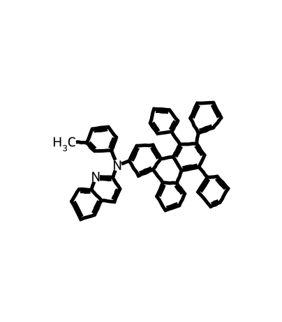 Cc1cccc(N(c2ccc3c(c2)c2ccccc2c2c(-c4ccccc4)cc(-c4ccccc4)c(-c4ccccc4)c32)c2ccc3ccccc3n2)c1